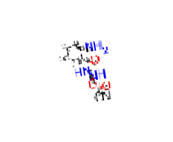 N#CC(=O)ONNC(=O)c1ccccc1N